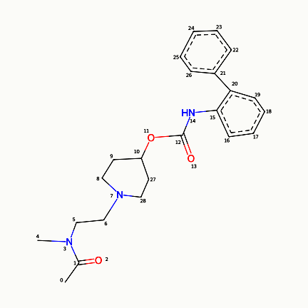 CC(=O)N(C)CCN1CCC(OC(=O)Nc2ccccc2-c2ccccc2)CC1